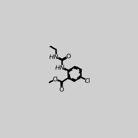 CCNC(=O)Nc1ccc(Cl)cc1C(=O)OC